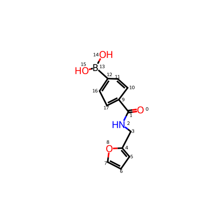 O=C(NCc1ccco1)c1ccc(B(O)O)cc1